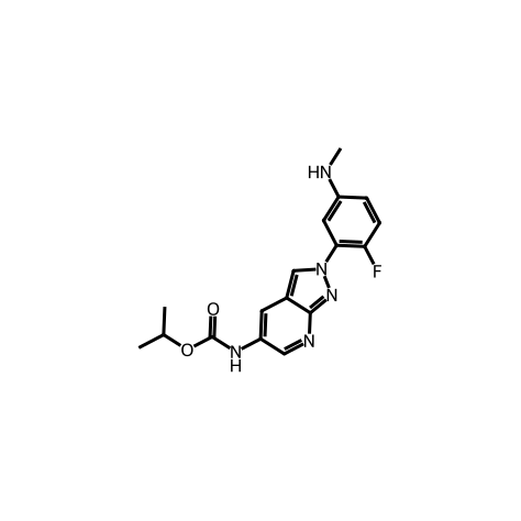 CNc1ccc(F)c(-n2cc3cc(NC(=O)OC(C)C)cnc3n2)c1